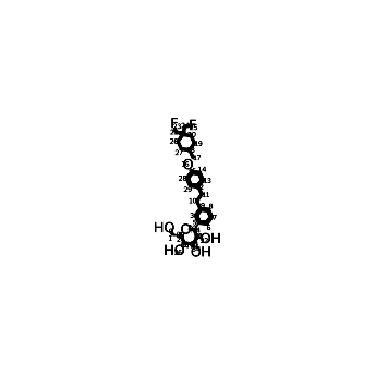 OC[C@H]1O[C@@H](c2cccc(CCc3ccc(OCC4CCC(CF)(CF)CC4)cc3)c2)[C@H](O)[C@@H](O)[C@@H]1O